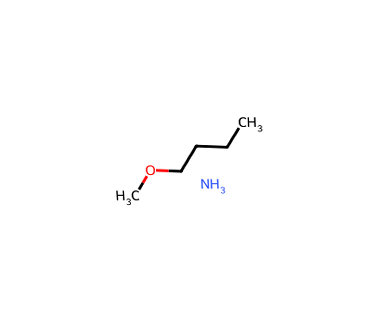 CCCCOC.N